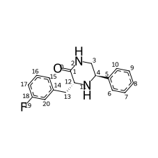 O=C1NC[C@@H](c2ccccc2)N[C@@H]1Cc1cccc(F)c1